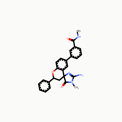 CCCCNC(=O)c1cccc(-c2ccc3c(c2)C2(CC(c4ccccc4)O3)N=C(N)N(C)C2=O)c1